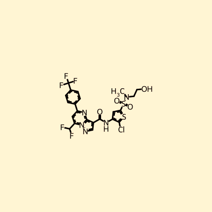 CN(CCO)S(=O)(=O)c1cc(NC(=O)c2cnn3c(C(F)F)cc(-c4ccc(C(F)(F)F)cc4)nc23)c(Cl)s1